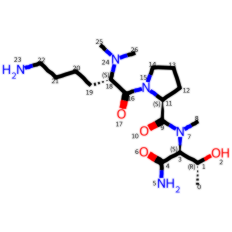 C[C@@H](O)[C@@H](C(N)=O)N(C)C(=O)[C@@H]1CCCN1C(=O)[C@H](CCCCN)N(C)C